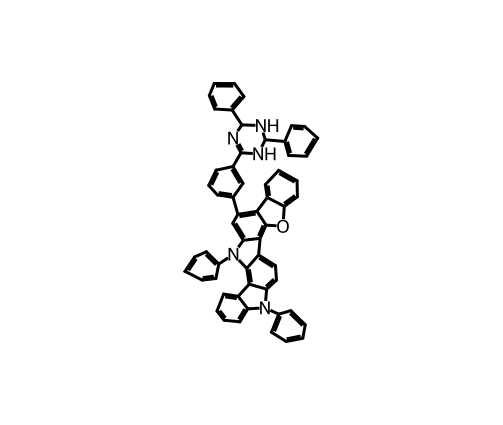 c1ccc(C2N=C(c3cccc(-c4cc5c(c6ccc7c(c8ccccc8n7-c7ccccc7)c6n5-c5ccccc5)c5oc6ccccc6c45)c3)NC(c3ccccc3)N2)cc1